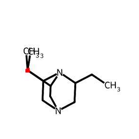 CCC1CN2CC(CC)N1C(CC)C2